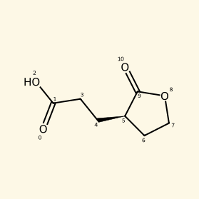 O=C(O)CC[C@@H]1CCOC1=O